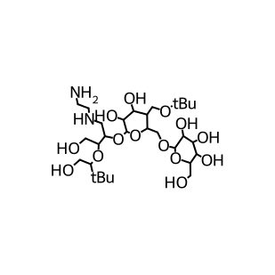 CC(C)(C)OCC1C(COC2OC(CO)C(O)C(O)C2O)OC(OC(CNCCN)C(CO)OC(CO)C(C)(C)C)C(O)C1O